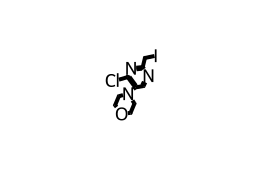 Clc1nc(CI)ncc1N1CCOCC1